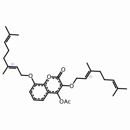 CC(=O)Oc1c(OC/C=C(\C)CCC=C(C)C)c(=O)oc2c(OC/C=C(\C)CCC=C(C)C)cccc12